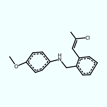 COc1ccc(NCc2ccccc2/C=C(/C)Cl)cc1